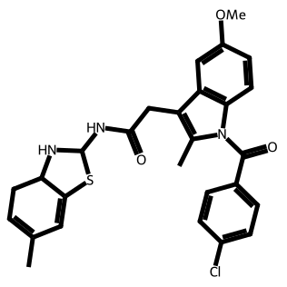 COc1ccc2c(c1)c(CC(=O)NC1NC3CC=C(C)C=C3S1)c(C)n2C(=O)c1ccc(Cl)cc1